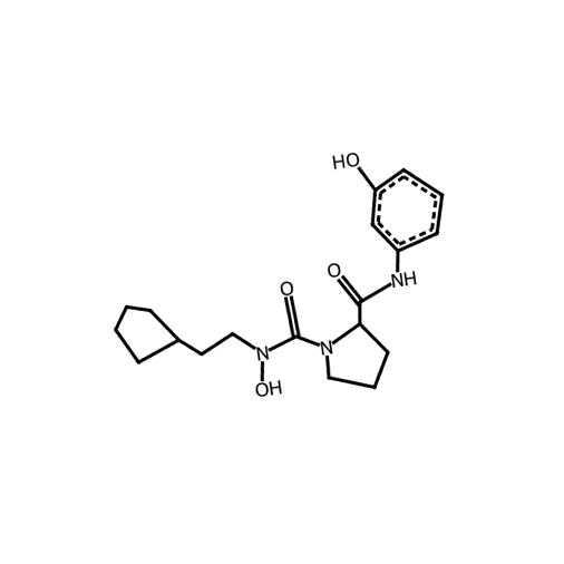 O=C(Nc1cccc(O)c1)C1CCCN1C(=O)N(O)CCC1CCCC1